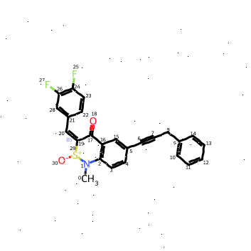 CN1c2ccc(C#CCc3ccccc3)cc2C(=O)/C(=C\c2ccc(F)c(F)c2)[S+]1[O-]